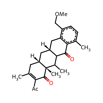 COCc1ccc(C)c2c1C[C@H]1C[C@H]3CC(C)=C(C(C)=O)C(=O)[C@@]3(C)C(C)C1C2=O